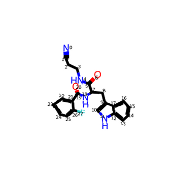 N#CCCNC(=O)C(Cc1c[nH]c2ccccc12)NC(=O)c1ccccc1F